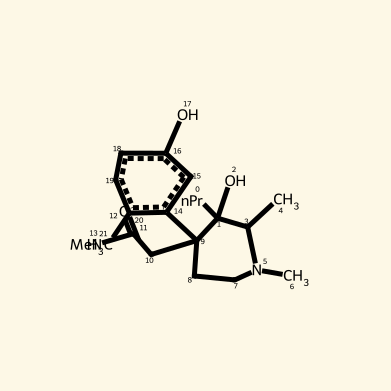 CCCC1(O)C(C)N(C)CCC1(CC(=O)NC)c1cc(O)ccc1C